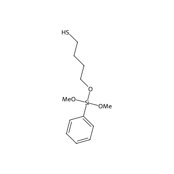 CO[Si](OC)(OCCCCS)c1ccccc1